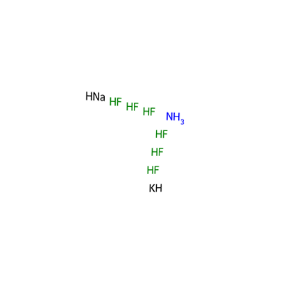 F.F.F.F.F.F.N.[KH].[NaH]